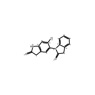 O=C1Cc2cc(N3C(=O)Cc4c[c]ccc43)c(Cl)cc2N1